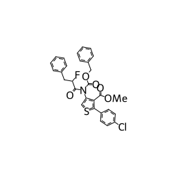 COC(=O)c1c(N(C(=O)OCc2ccccc2)C(=O)C(F)Cc2ccccc2)csc1-c1ccc(Cl)cc1